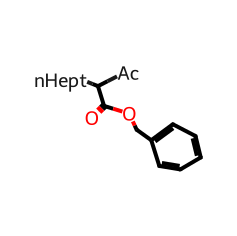 CCCCCCCC(C(C)=O)C(=O)OCc1ccccc1